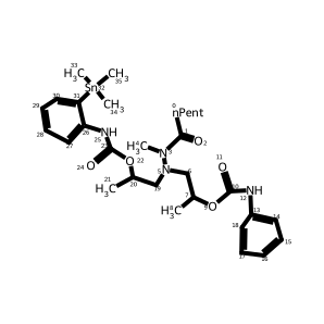 CCCCCC(=O)N(C)N(CC(C)OC(=O)Nc1ccccc1)CC(C)OC(=O)Nc1cccc[c]1[Sn]([CH3])([CH3])[CH3]